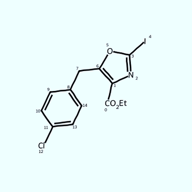 CCOC(=O)c1nc(I)oc1Cc1ccc(Cl)cc1